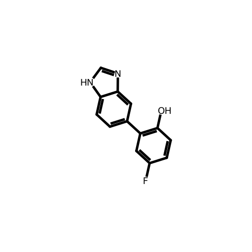 Oc1ccc(F)cc1-c1ccc2[nH]cnc2c1